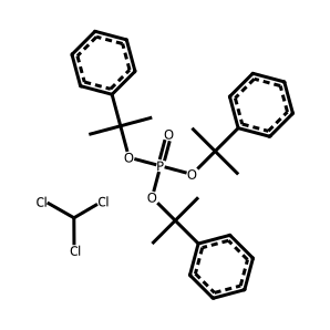 CC(C)(OP(=O)(OC(C)(C)c1ccccc1)OC(C)(C)c1ccccc1)c1ccccc1.ClC(Cl)Cl